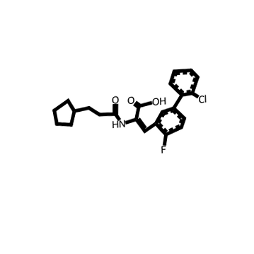 O=C(CCC1CCCC1)N/C(=C/c1cc(-c2ccccc2Cl)ccc1F)C(=O)O